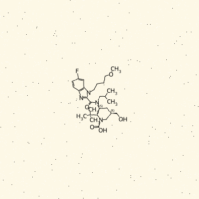 COCCCCn1c(C(=O)N(CC(C)C)[C@H]2C[C@@H](CO)CN(C(=O)O)C2C(C)(C)C)nc2ccc(F)cc21